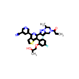 C=CC(=O)N1Cc2cc(-c3nc(-c4cncc(C#N)c4)c4ccsc4c3-c3c(F)cc(F)cc3OCC(C)O)nn2C(C)C1